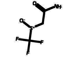 [NH]C(=O)C[S+]([O-])C(F)(F)F